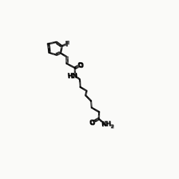 NC(=O)CCCCCCCNC(=O)/C=C/c1ccccc1F